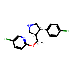 C[C@H](Oc1ccc(Cl)cn1)[C@H]1CNC[C@@H]1c1ccc(Cl)cc1